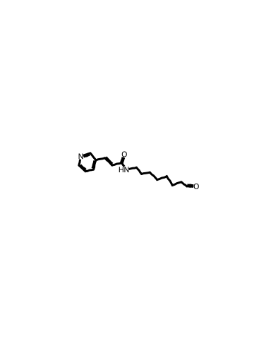 O=CCCCCCCCNC(=O)/C=C/c1cccnc1